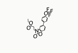 CCOC(=O)CCn1c(=O)oc2ccc(-c3ccc(OC(F)(F)F)cc3)cc21